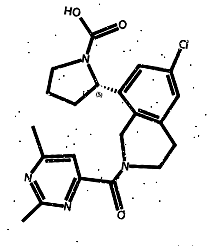 Cc1cc(C(=O)N2CCc3cc(Cl)cc([C@@H]4CCCN4C(=O)O)c3C2)nc(C)n1